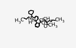 CCCCC/C(C(C)=O)=C(\C)OC(Cl)c1ccccc1-c1cccc(C(NCCCC)C2CCCCC2)n1